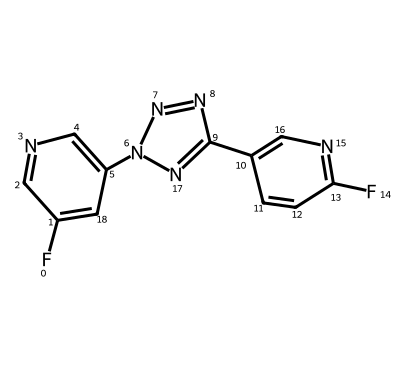 Fc1cncc(-n2nnc(-c3ccc(F)nc3)n2)c1